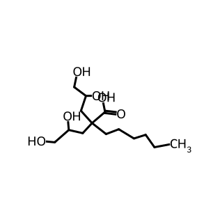 CCCCCCC(CC(O)CO)(CC(O)CO)C(=O)O